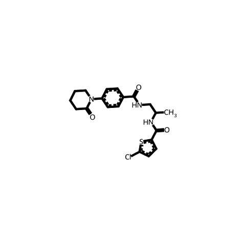 CC(CNC(=O)c1ccc(N2CCCCC2=O)cc1)NC(=O)c1ccc(Cl)s1